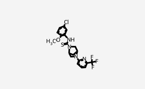 COc1ccc(Cl)cc1NC(=S)N1CC2CC1CN2c1cccc(C(F)(F)F)n1